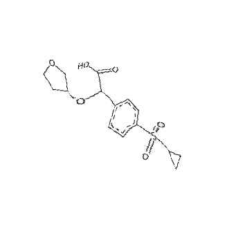 O=C(O)C(OC1CCOC1)c1ccc(S(=O)(=O)C2CC2)cc1